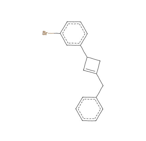 Brc1cccc(C2C=C(Cc3ccccc3)C2)c1